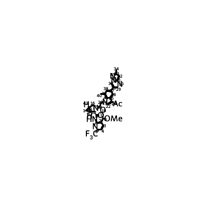 COCc1ccc(C(F)(F)F)nc1NC(=O)[C@@H]1[C@@H]2C[C@@H]2CN1C(=O)Cn1cc(C(C)=O)c2cc(-c3cnc4cc(C)nn4c3)cc(C)c21